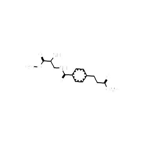 COC(=O)CCc1ccc(C(=O)NCC(N)C(=O)OC(C)(C)C)cc1